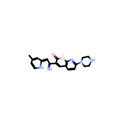 CC1=C/C(=C/C(=N)C2=Cc3ccc(N4CCNCC4)nc3BC2=O)NC=C1